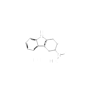 CN(C)C1CCc2[nH]c3ccccc3c2C1.Cl